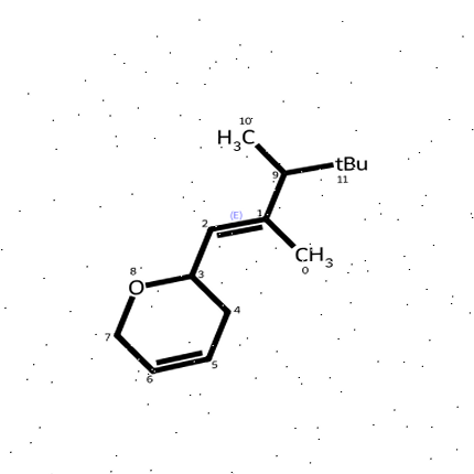 C/C(=C\C1CC=CCO1)C(C)C(C)(C)C